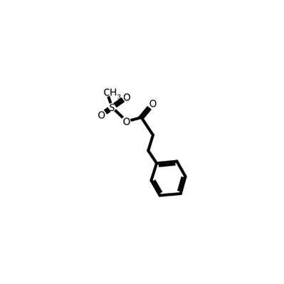 CS(=O)(=O)OC(=O)CCc1ccccc1